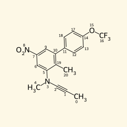 CC#CN(C)c1cc([N+](=O)[O-])cc(-c2ccc(OC(F)(F)F)cc2)c1C